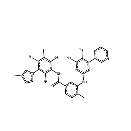 [2H]c1nc(Nc2cc(C(=O)Nc3c([2H])c(C)c([2H])c(-n4ccc(C)c4)c3[2H])ccc2C)nc(-c2cccnc2)c1[2H]